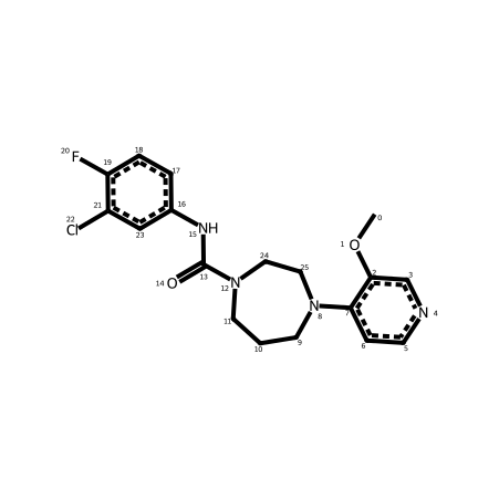 COc1cnccc1N1CCCN(C(=O)Nc2ccc(F)c(Cl)c2)CC1